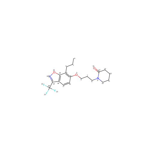 CCCc1c(OCCCN2CCCCC2=O)ccc2c(C(F)(F)F)noc12